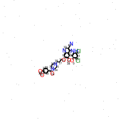 COc1cc(Nc2c(C#N)cnc3cc(OCCCN4CCN(C(=O)c5ccc6c(c5)OCO6)CC4)c(OC)cc23)c(Cl)cc1Cl